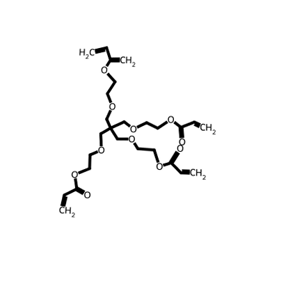 C=CC(=C)OCCOCC(COCCOC(=O)C=C)(COCCOC(=O)C=C)COCCOC(=O)C=C